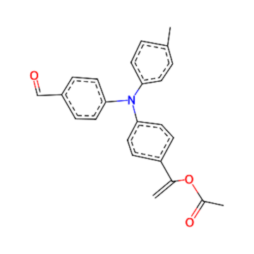 C=C(OC(C)=O)c1ccc(N(c2ccc(C)cc2)c2ccc(C=O)cc2)cc1